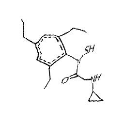 CCc1cc(CC)c(N(S)C(=O)NC2CC2)c(CC)c1